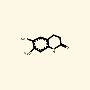 COc1cc2c(cc1OC)NC(=O)CC2